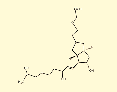 CC(O)CCCCC(O)C=C[C@H]1[C@@H]2CC(CCOCC(=O)O)C[C@H]2C[C@@H]1O